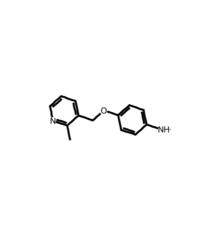 Cc1ncccc1COc1ccc([NH])cc1